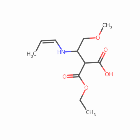 C/C=C\NC(COC)C(C(=O)O)C(=O)OCC